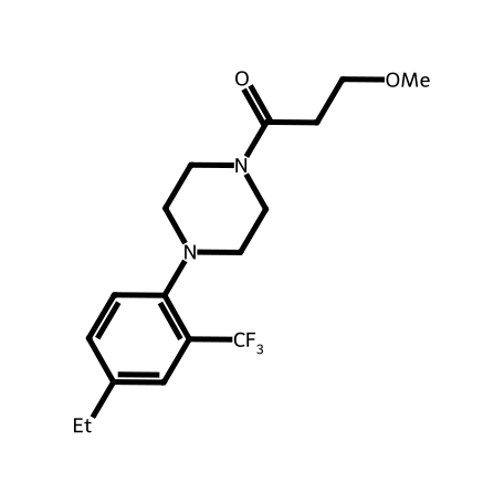 CCc1ccc(N2CCN(C(=O)CCOC)CC2)c(C(F)(F)F)c1